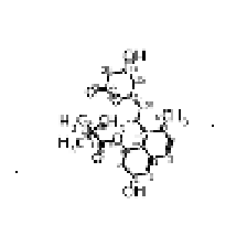 CC1C=CC2=CC(O)CC(OC(=O)C(C)(C)C)C2C1CC[C@@H]1C[C@@H](O)CC(=O)O1